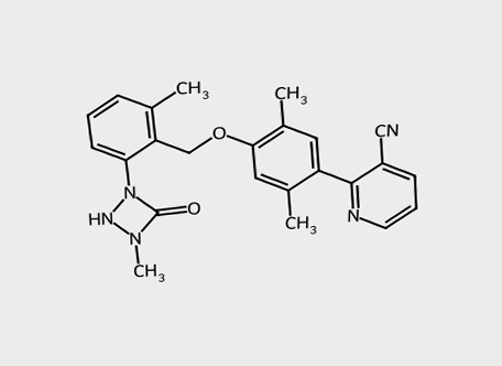 Cc1cc(-c2ncccc2C#N)c(C)cc1OCc1c(C)cccc1-n1[nH]n(C)c1=O